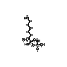 N.O=P(O)(O)OP(=O)(O)OCCOCCO